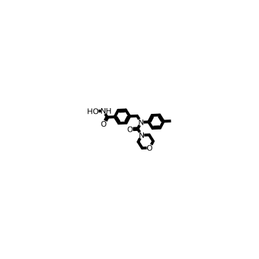 Cc1ccc(N(Cc2ccc(C(=O)NO)cc2)C(=O)N2CCOCC2)cc1